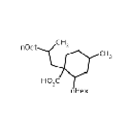 CCCCCCCCC(C)CC1(C(=O)O)CCC(C)CC1CCCCCC